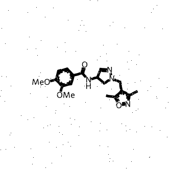 COc1ccc(C(=O)NC2C=NN(Cc3c(C)noc3C)C2)cc1OC